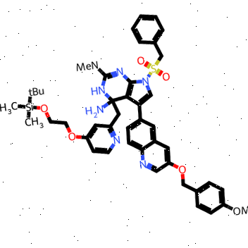 CNC1=Nc2c(c(-c3ccc4ncc(OCc5ccc(OC)cc5)cc4c3)cn2S(=O)(=O)Cc2ccccc2)C(N)(Cc2cc(OCCO[Si](C)(C)C(C)(C)C)ccn2)N1